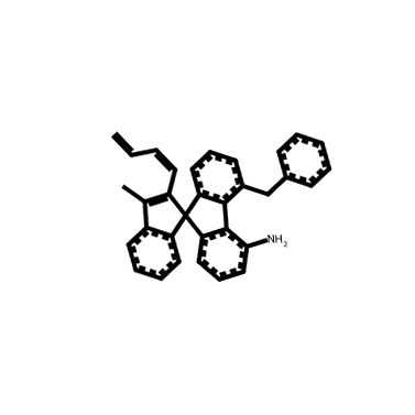 C=C/C=C\C1=C(C)c2ccccc2C12c1cccc(N)c1-c1c(Cc3ccccc3)cccc12